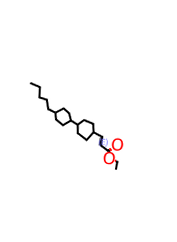 CCCCCC1CCC(C2CCC(/C=C/C(=O)OCC)CC2)CC1